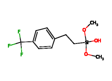 CO[Si](O)(CCc1ccc(C(F)(F)F)cc1)OC